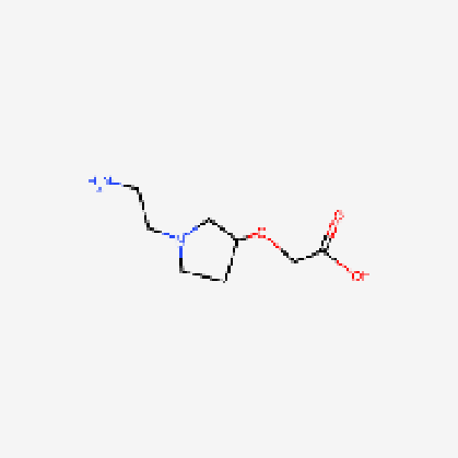 NCCN1CCC(OCC(=O)O)C1